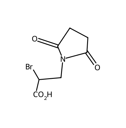 O=C(O)C(Br)CN1C(=O)CCC1=O